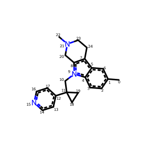 Cc1ccc2c(c1)c1c(n2CC2(c3ccncc3)CC2)CN(C)CC1